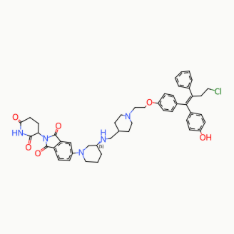 O=C1CCC(N2C(=O)c3ccc(N4CCC[C@H](NCC5CCN(CCOc6ccc(C(=C(CCCl)c7ccccc7)c7ccc(O)cc7)cc6)CC5)C4)cc3C2=O)C(=O)N1